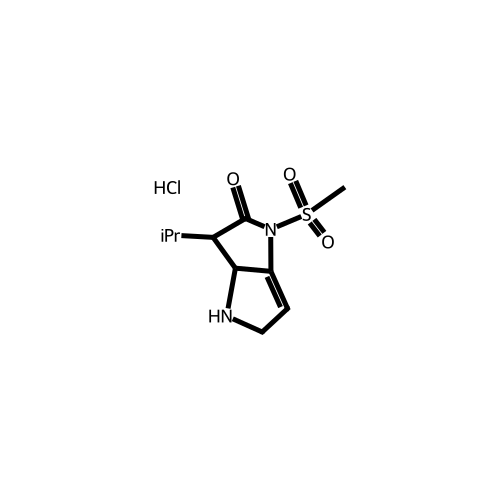 CC(C)C1C(=O)N(S(C)(=O)=O)C2=CCNC21.Cl